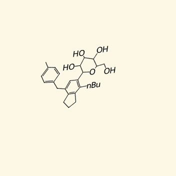 CCCCc1c(C2OC(CO)C(O)C(O)C2O)cc(Cc2ccc(C)cc2)c2c1CCC2